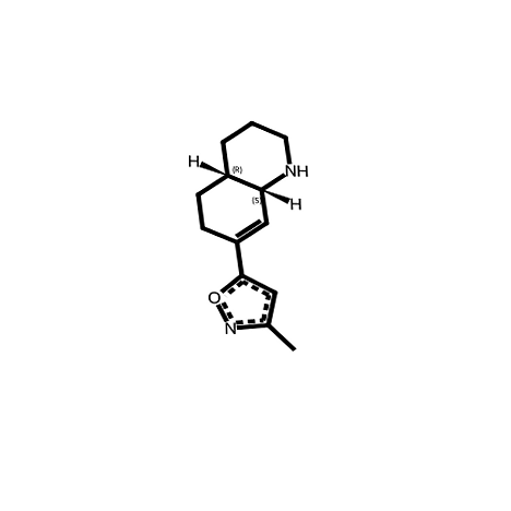 Cc1cc(C2=C[C@H]3NCCC[C@H]3CC2)on1